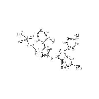 CS(=O)(=O)CCNc1nc(Cn2nc(-c3ccc(Cl)cc3)n(CC(O)C(F)(F)F)c2=O)nn1-c1ccccc1Cl